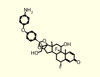 CC12CC(O)[C@@]3(F)C(C[C@H](F)C4=CC(=O)C=CC43C)C1CC1O[C@@H](c3ccc(Oc4ccc(N)cc4)cc3)OC12C(=O)CO